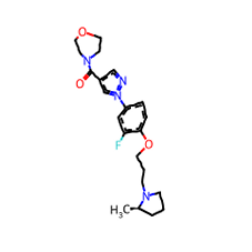 C[C@@H]1CCCN1CCCOc1ccc(-n2cc(C(=O)N3CCOCC3)cn2)cc1F